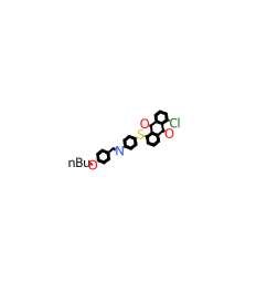 CCCCOc1ccc(C=Nc2ccc(Sc3cccc4c3C(=O)c3cccc(Cl)c3C4=O)cc2)cc1